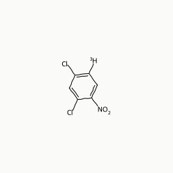 [3H]c1cc([N+](=O)[O-])c(Cl)cc1Cl